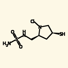 NS(=O)(=O)NC[C@@H]1C[C@H](S)CN1Cl